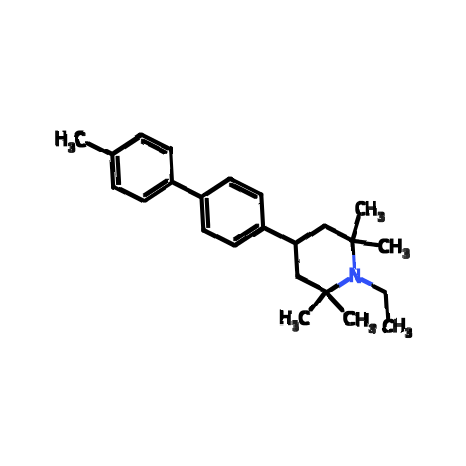 CCN1C(C)(C)CC(c2ccc(-c3ccc(C)cc3)cc2)CC1(C)C